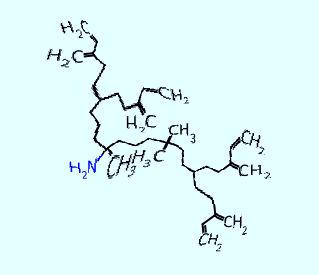 C=CC(=C)CCC(CCCC(C)(N)CCCC(C)(C)CCC(CCC(=C)C=C)CCC(=C)C=C)CCC(=C)C=C